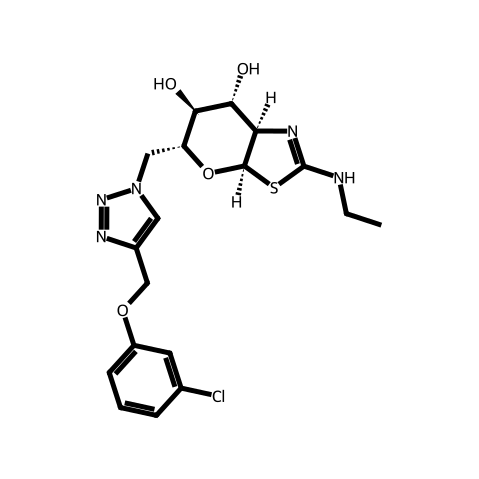 CCNC1=N[C@@H]2[C@@H](O)[C@H](O)[C@@H](Cn3cc(COc4cccc(Cl)c4)nn3)O[C@@H]2S1